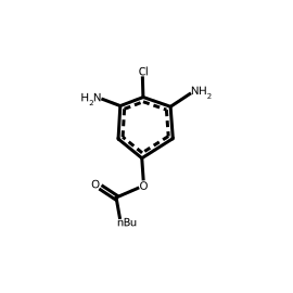 CCCCC(=O)Oc1cc(N)c(Cl)c(N)c1